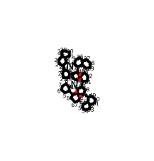 c1ccc(-c2ccccc2N(c2ccc(-c3c(-n4c5ccccc5c5ccc6ccccc6c54)ccc4ccccc34)cc2)c2ccc(-c3cccc4ccccc34)cc2-c2ccccc2)cc1